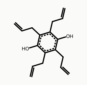 C=CCc1c(O)c(CC=C)c(CC=C)c(O)c1CC=C